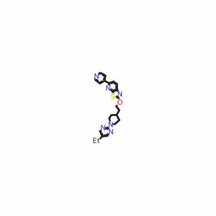 CCc1cnc(N2CCC(CCOc3nc4ccc(-c5ccncc5)nc4s3)CC2)nc1